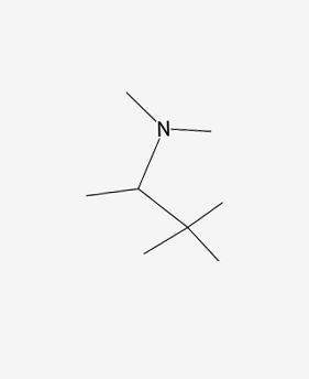 CC(N(C)C)C(C)(C)C